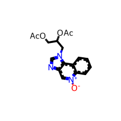 CC(=O)OCC(Cn1cnc2c[n+]([O-])c3ccccc3c21)OC(C)=O